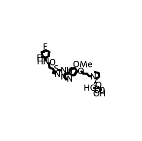 COc1cc2c(Nc3ncc(CC(=O)Nc4ccc(F)cc4F)s3)ncnc2cc1OCCCN1CCC[C@H]1COP(=O)(O)O